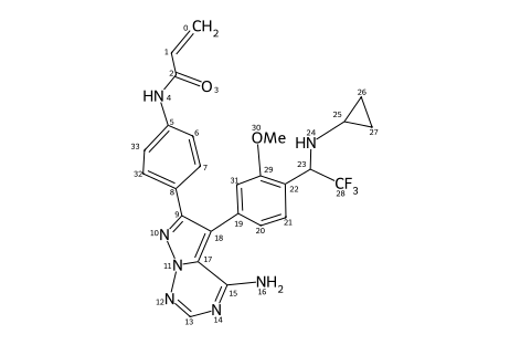 C=CC(=O)Nc1ccc(-c2nn3ncnc(N)c3c2-c2ccc(C(NC3CC3)C(F)(F)F)c(OC)c2)cc1